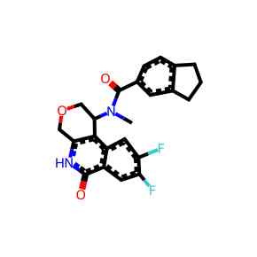 CN(C(=O)c1ccc2c(c1)CCC2)C1COCc2[nH]c(=O)c3cc(F)c(F)cc3c21